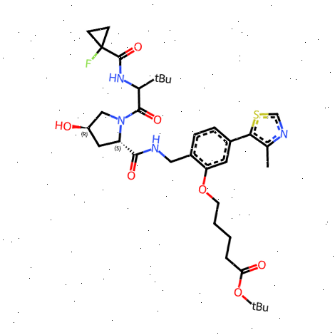 Cc1ncsc1-c1ccc(CNC(=O)[C@@H]2C[C@@H](O)CN2C(=O)C(NC(=O)C2(F)CC2)C(C)(C)C)c(OCCCCC(=O)OC(C)(C)C)c1